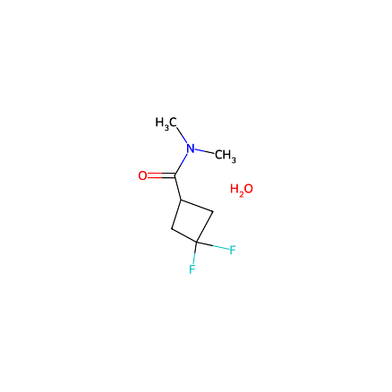 CN(C)C(=O)C1CC(F)(F)C1.O